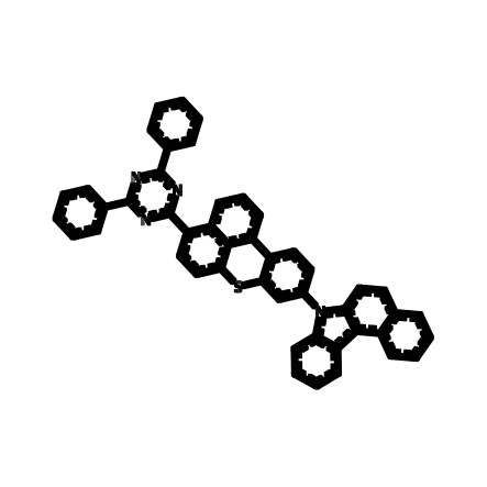 c1ccc(-c2nc(-c3ccccc3)nc(-c3ccc4c5c(cccc35)-c3ccc(-n5c6ccccc6c6c7ccccc7ccc65)cc3S4)n2)cc1